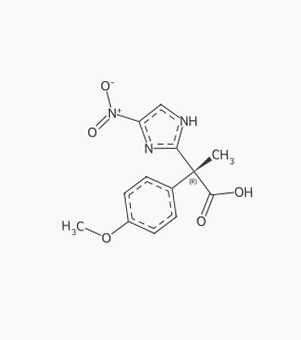 COc1ccc([C@@](C)(C(=O)O)c2nc([N+](=O)[O-])c[nH]2)cc1